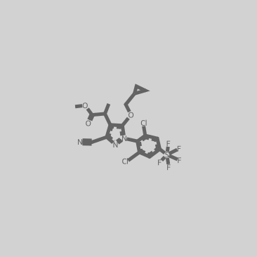 COC(=O)C(C)c1c(C#N)nn(-c2c(Cl)cc(S(F)(F)(F)(F)F)cc2Cl)c1OCC1CC1